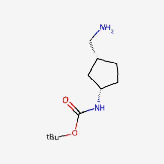 CC(C)(C)OC(=O)N[C@H]1CC[C@@H](CN)C1